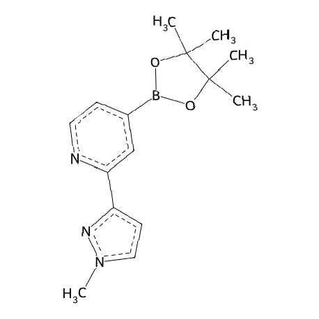 Cn1ccc(-c2cc(B3OC(C)(C)C(C)(C)O3)ccn2)n1